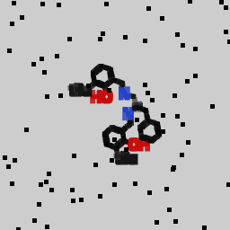 CC(C)(C)c1cccc(C=NC[C@H](Cc2ccccc2)N=Cc2cccc(C(C)(C)C)c2O)c1O